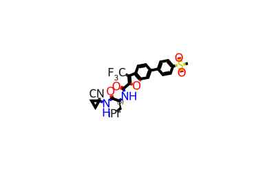 CC(C)C[C@H](NC(=O)c1oc2cc(-c3ccc(S(C)(=O)=O)cc3)ccc2c1C(F)(F)F)C(=O)NC1(C#N)CC1